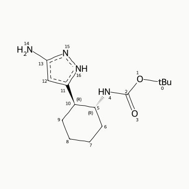 CC(C)(C)OC(=O)N[C@@H]1CCCC[C@H]1c1cc(N)n[nH]1